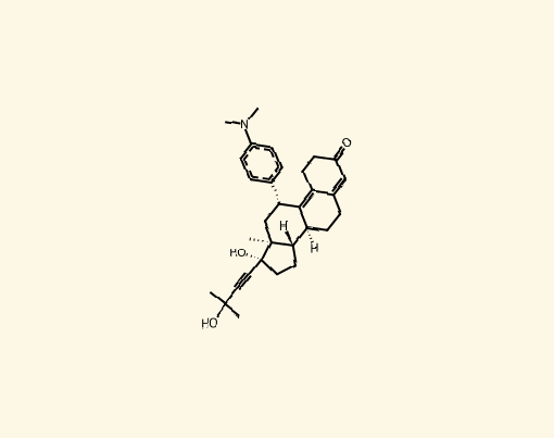 CN(C)c1ccc([C@H]2C[C@@]3(C)[C@@H](CC[C@@]3(O)C#CC(C)(C)O)[C@@H]3CCC4=CC(=O)CCC4=C32)cc1